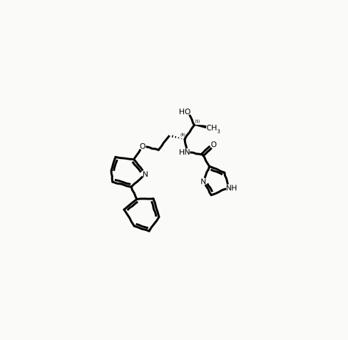 C[C@H](O)[C@@H](CCOc1cccc(-c2ccccc2)n1)NC(=O)c1c[nH]cn1